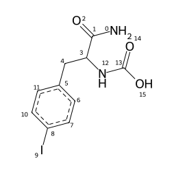 NC(=O)C(Cc1ccc(I)cc1)NC(=O)O